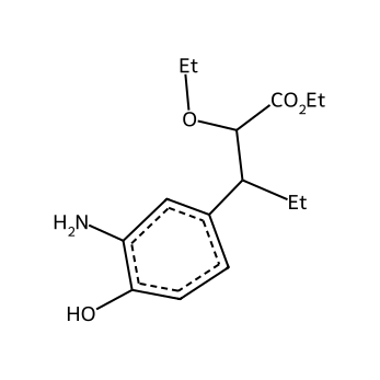 CCOC(=O)C(OCC)C(CC)c1ccc(O)c(N)c1